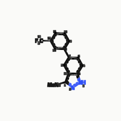 CNc1n[nH]c2ccc(-c3cccc(C(F)(F)F)c3)cc12